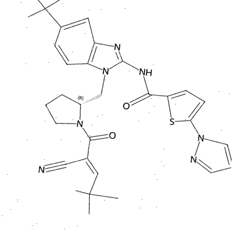 CC(C)(C)C=C(C#N)C(=O)N1CCC[C@@H]1Cn1c(NC(=O)c2ccc(-n3cccn3)s2)nc2cc(C(C)(C)O)ccc21